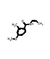 C/C=C\NC(=O)c1ccc(OC)cc1C